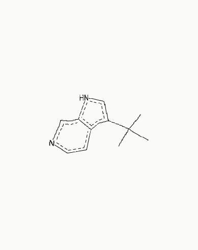 CC(C)(C)c1c[nH]c2cnccc12